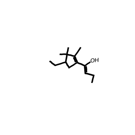 CCC=C(O)C1=C(C)C(C)(C)C(CC)C1